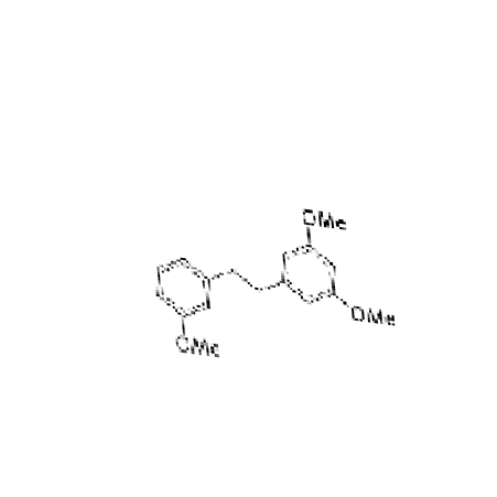 COc1cccc(CCc2cc(OC)cc(OC)c2)c1